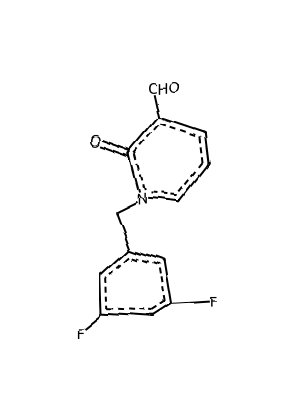 O=Cc1cccn(Cc2cc(F)cc(F)c2)c1=O